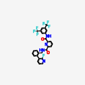 O=C(NCc1ccccc1-c1cccnc1F)c1cccc(C(=O)Nc2cc(C(F)(F)F)cc(C(F)(F)F)c2)n1